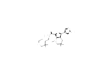 O=C1N[C@@H]([C@@H]2CCOCC2(F)F)CN2CC(F)(F)Cc3c(-c4cn[nH]c4)sc1c32